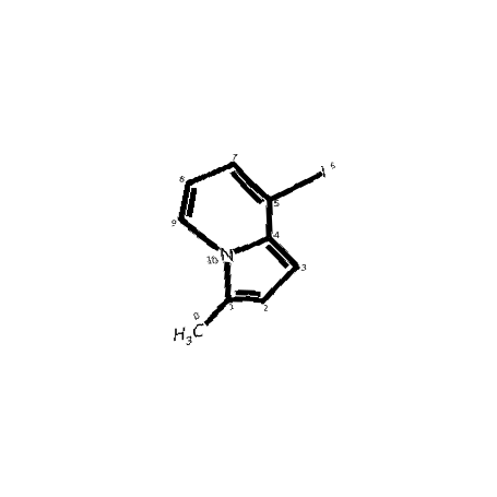 Cc1ccc2c(I)cccn12